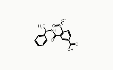 C[C@@H](NC(=O)c1cc(C(=O)O)ccc1[N+](=O)[O-])c1ccccc1